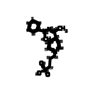 C/C(=N/N(C)c1ccccc1)c1cc[n+](CCCS(=O)(=O)[O-])cc1